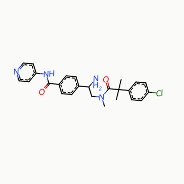 CN(CC(N)c1ccc(C(=O)Nc2ccncc2)cc1)C(=O)C(C)(C)c1ccc(Cl)cc1